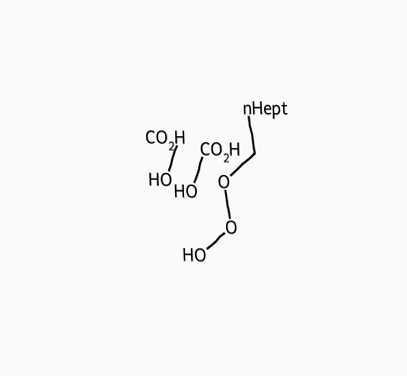 CCCCCCCCOOO.O=C(O)O.O=C(O)O